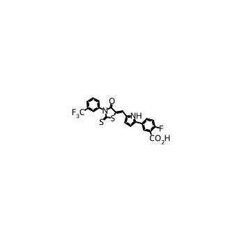 O=C(O)c1cc(-c2ccc(/C=C3\SC(=S)N(c4cccc(C(F)(F)F)c4)C3=O)[nH]2)ccc1F